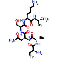 CC[C@H](C)[C@H](NC(=O)[C@@H](N)CC(C)C)C(=O)N[C@@H](CC(N)=O)C(=O)N[C@@H](CO)C(=O)N[C@@H](CCCCN)C(=O)N[C@H](C(=O)O)C(C)C